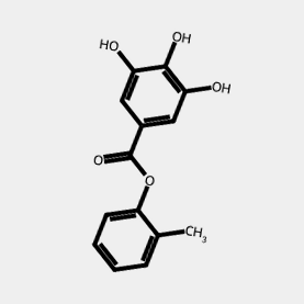 Cc1ccccc1OC(=O)c1cc(O)c(O)c(O)c1